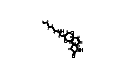 CCCCCNCC1COc2ccc3c(c2O1)CC(=O)N3